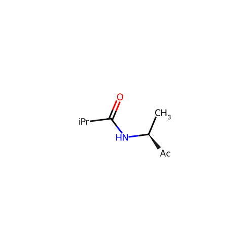 CC(=O)[C@H](C)NC(=O)C(C)C